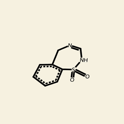 O=S1(=O)NC=NCc2ccccc21